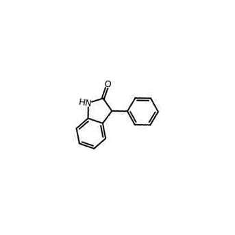 O=C1Nc2ccccc2C1c1ccccc1